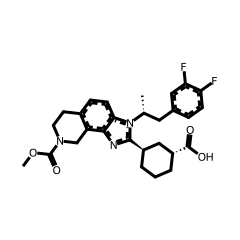 COC(=O)N1CCc2ccc3c(nc([C@@H]4CCC[C@@H](C(=O)O)C4)n3[C@H](C)Cc3ccc(F)c(F)c3)c2C1